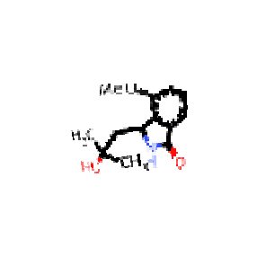 COc1cccc2c1C(CC(C)(C)O)NC2=O